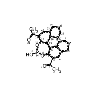 CC(=O)c1cc2ccccc2c2c1op(O)oc1c(C(C)=O)cc3ccccc3c12